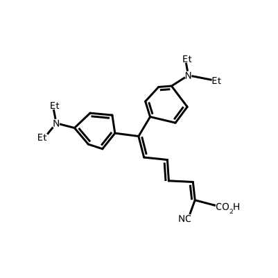 CCN(CC)c1ccc(C(=C/C=C/C=C(\C#N)C(=O)O)c2ccc(N(CC)CC)cc2)cc1